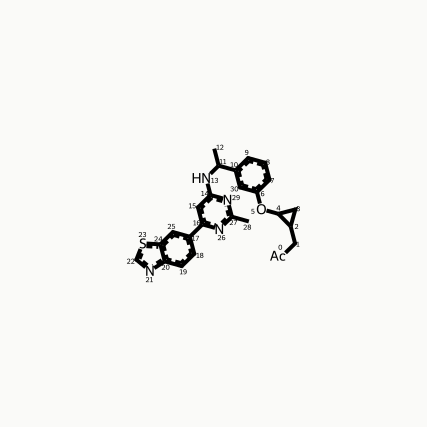 CC(=O)CC1CC1Oc1cccc(C(C)Nc2cc(-c3ccc4ncsc4c3)nc(C)n2)c1